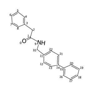 O=C(Cc1ccccc1)NCc1ccc(-c2ccccc2)cc1